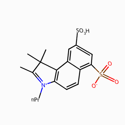 CCC[N+]1=C(C)C(C)(C)c2c1ccc1c(S(=O)(=O)[O-])cc(S(=O)(=O)O)cc21